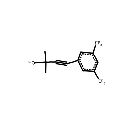 CC(C)(O)C#Cc1cc(C(F)(F)F)cc(C(F)(F)F)c1